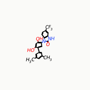 Cc1cc(C)cc(-c2cc(-n3c(=O)[nH]c4cc(C(F)(F)F)ccc43)c(O)cc2O)c1